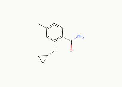 Cc1ccc(C(N)=O)c(CC2CC2)c1